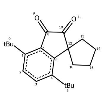 CC(C)(C)c1ccc(C(C)(C)C)c2c1C(=O)C(=O)C21CCCC1